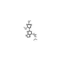 COc1ncc(-c2cc([C@H]3C[C@@H]3C(C)C)c3ccnn3n2)c(OC)n1